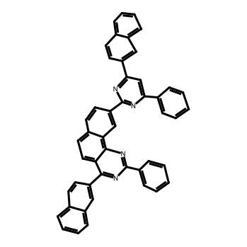 c1ccc(-c2cc(-c3ccc4ccccc4c3)nc(-c3ccc4ccc5c(-c6ccc7ccccc7c6)nc(-c6ccccc6)nc5c4c3)n2)cc1